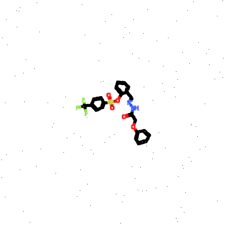 O=C(COc1ccccc1)NN=Cc1ccccc1OS(=O)(=O)c1ccc(C(F)(F)F)cc1